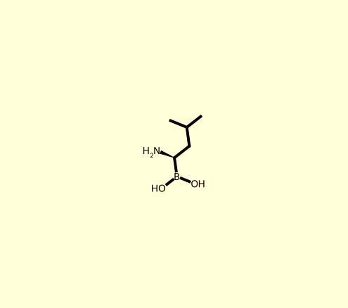 CC(C)C[C@H](N)B(O)O